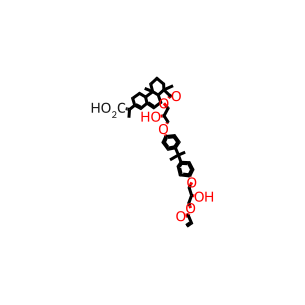 C=CC(=O)OCC(O)COc1ccc(C(C)(C)c2ccc(OCC(O)COC(=O)C3(C)CCCC4(C)C5CCC(C(C)C(=O)O)=CC5=CCC34)cc2)cc1